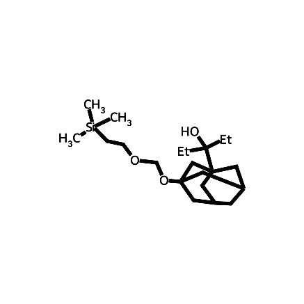 CCC(O)(CC)C12CC3CC(CC(OCOCC[Si](C)(C)C)(C3)C1)C2